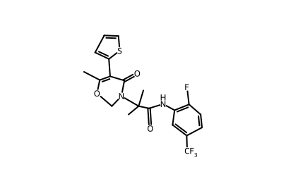 CC1=C(c2cccs2)C(=O)N(C(C)(C)C(=O)Nc2cc(C(F)(F)F)ccc2F)CO1